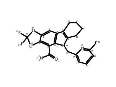 NC(=O)c1c2c(cc3c4c(n(Cc5cccc(F)n5)c13)CC[C]C4)OC(F)(F)O2